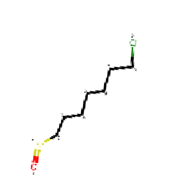 O=[S+]CCCCCCCCl